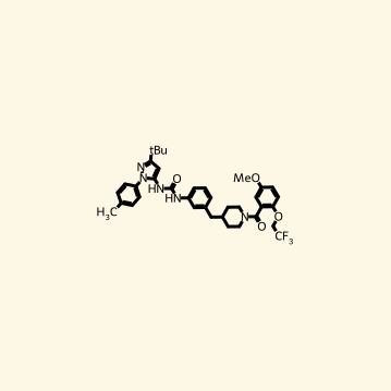 COc1ccc(OCC(F)(F)F)c(C(=O)N2CCC(Cc3cccc(NC(=O)Nc4cc(C(C)(C)C)nn4-c4ccc(C)cc4)c3)CC2)c1